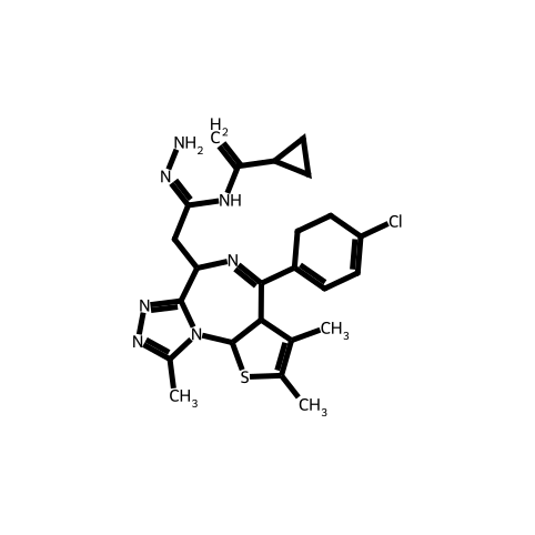 C=C(N/C(CC1N=C(C2=CC=C(Cl)CC2)C2C(C)=C(C)SC2n2c(C)nnc21)=N\N)C1CC1